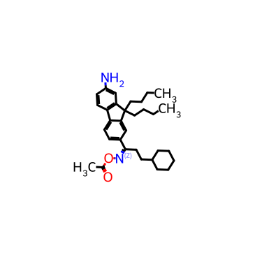 CCCCC1(CCCC)c2cc(N)ccc2-c2ccc(/C(CCC3CCCCC3)=N\OC(C)=O)cc21